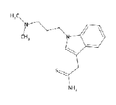 CN(C)CCCn1cc(CC(N)=S)c2ccccc21